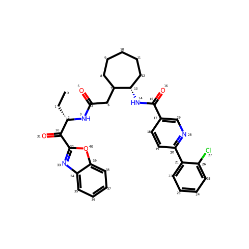 CC[C@H](NC(=O)CC1CCCCC[C@@H]1NC(=O)c1ccc(-c2ccccc2Cl)nc1)C(=O)c1nc2ccccc2o1